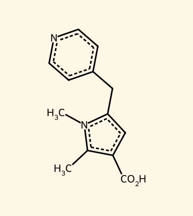 Cc1c(C(=O)O)cc(Cc2ccncc2)n1C